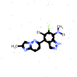 CCc1c(F)c(N(C)CC)c2[nH]ncc2c1-c1ccc2nc(C)cn2n1